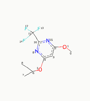 COc1cc(OC(C)C)nc(C(F)(F)F)n1